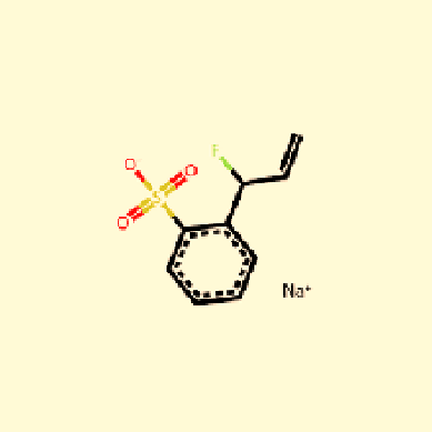 C=CC(F)c1ccccc1S(=O)(=O)[O-].[Na+]